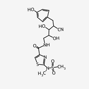 CN(c1nc(C(=O)NCC(O)C(O)C(C#N)Cc2ccc(O)cc2)cs1)S(C)(=O)=O